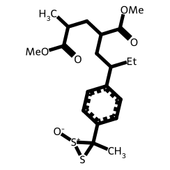 CCC(CC(CC(C)C(=O)OC)C(=O)OC)c1ccc(C2(C)S[S+]2[O-])cc1